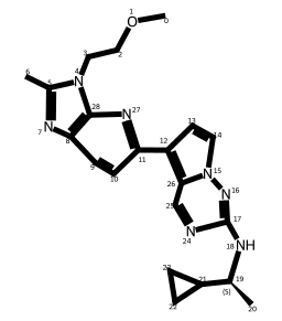 COCCn1c(C)nc2ccc(-c3ccn4nc(N[C@@H](C)C5CC5)ncc34)nc21